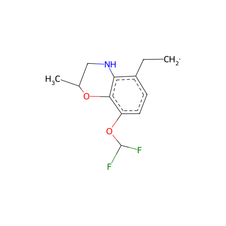 [CH2]Cc1ccc(OC(F)F)c2c1NCC(C)O2